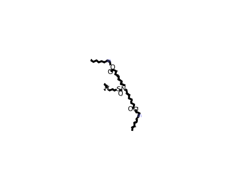 CCCCCC/C=C\COC(=O)CCCCCCCN(CCCCCCCC(=O)OC/C=C\CCCCCC)C(=O)SCCCN(C)CC